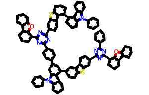 c1ccc(-c2nc(-c3ccc4c(c3)sc3ccc(-c5cc(-c6ccc(-c7nc(-c8ccc9c(c8)sc8cccc(-c%10cccc%11c%10c%10ccccc%10n%11-c%10ccccc%10)c89)nc(-c8cccc9c8oc8ccccc89)n7)cc6)cc6c5c5ccccc5n6-c5ccccc5)cc34)nc(-c3cccc4c3oc3ccccc34)n2)cc1